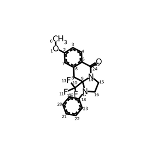 COc1ccc2c(c1)CC1(C(F)(F)F)N(CCN1c1ccccc1)C2=O